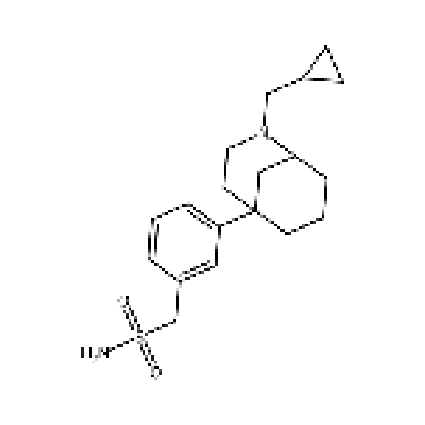 NS(=O)(=O)Cc1cccc(C23CCCC(C2)N(CC2CC2)CC3)c1